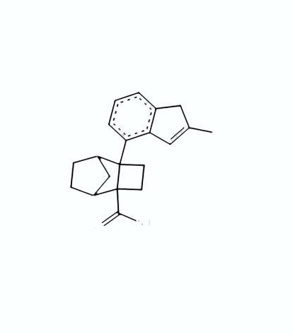 CC1=Cc2c(cccc2C23CCC2(C([NH])=O)C2CCC3C2)C1